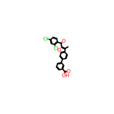 Cc1c(C(=O)c2ccc(Cl)cc2Cl)oc2cc(-c3cccc(C(=O)O)c3)ccc12